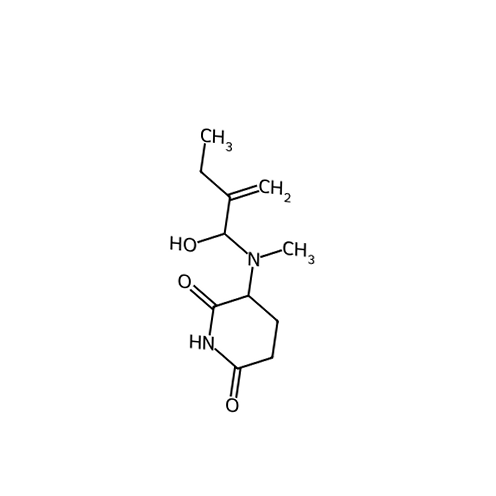 C=C(CC)C(O)N(C)C1CCC(=O)NC1=O